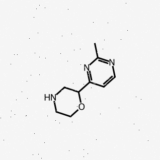 Cc1nccc(C2CNCCO2)n1